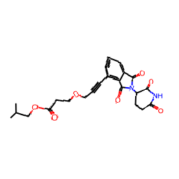 CC(C)COC(=O)CCOCC#Cc1cccc2c1C(=O)N(C1CCC(=O)NC1=O)C2=O